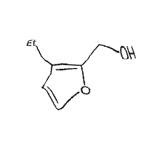 CCc1ccoc1CO